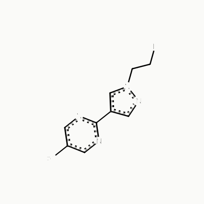 FCCn1cc(-c2ncc(Br)cn2)cn1